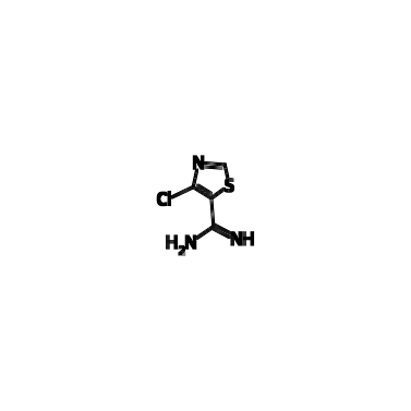 N=C(N)c1scnc1Cl